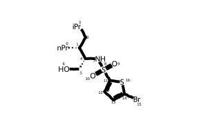 CCC[C@H](CC(C)C)[C@@H](CO)NS(=O)(=O)c1ccc(Br)s1